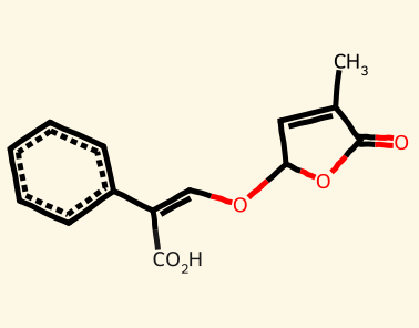 CC1=CC(OC=C(C(=O)O)c2ccccc2)OC1=O